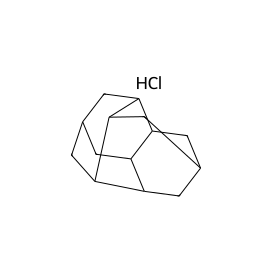 C1C2CC3C4CC5CC(C14)C(C2)C3C5.Cl